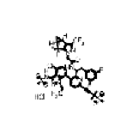 CC(C)(C#Cc1ccc(-c2ccc(Cl)c3c(NS(C)(=O)=O)nn(CC(F)(F)F)c23)c(C(Cc2cc(F)cc(F)c2)NC(=O)Cn2nc(C(F)(F)F)c3c2C(F)(F)[C@@H]2C[C@H]32)n1)S(C)(=O)=O.Cl